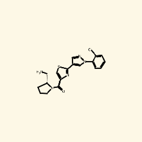 NC[C@H]1CCCN1C(=O)c1csc(-c2cnn(-c3ccccc3Cl)c2)n1